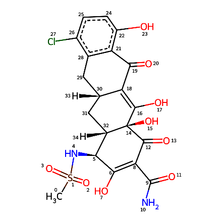 CS(=O)(=O)N[C@@H]1C(O)=C(C(N)=O)C(=O)[C@@]2(O)C(O)=C3C(=O)c4c(O)ccc(Cl)c4C[C@H]3C[C@@H]12